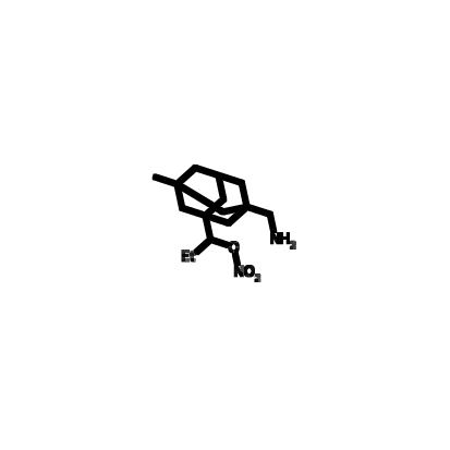 CCC(O[N+](=O)[O-])C12CC3CC(C)(CC(CN)(C3)C1)C2